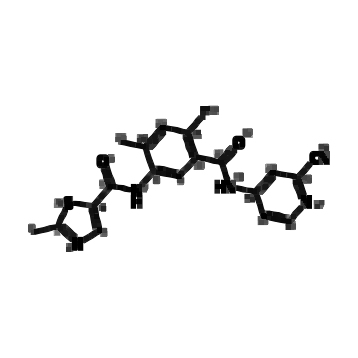 Cc1ncc(C(=O)Nc2cc(C(=O)Nc3ccnc(C#N)c3)c(F)cc2C)s1